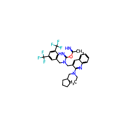 CCN(CC1CCCC1)c1nc2ccccc2cc1CN(Cc1cc(C(F)(F)F)cc(C(F)(F)F)c1)C(=N)OC(C)=N